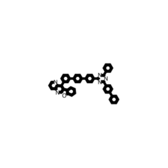 c1ccc(-c2ccc(-c3nc(-c4ccccc4)nc(-c4ccc(-c5ccc(-c6cccc(-c7c8ncccc8nc8oc9ccccc9c78)c6)cc5)cc4)n3)cc2)cc1